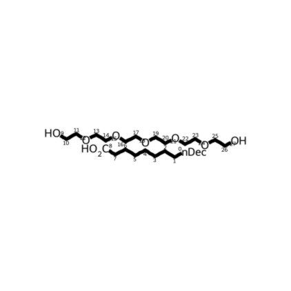 CCCCCCCCCCCCCCCCCC(=O)O.OCCOCCOCCOCCOCCOCCO